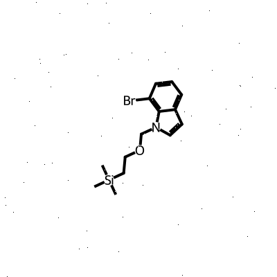 C[Si](C)(C)CCOCn1ccc2cccc(Br)c21